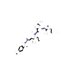 CS/C(=c1/s/c(=C2/OC(=O)N(CC(=O)O)C2=O)n(CC(=O)O)c1=O)N(CC(=O)O)C(=O)C=C/C(C)=C1/Oc2cc3c(cc2N1C)OCO3